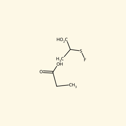 CC(SF)C(=O)O.CCC(=O)O